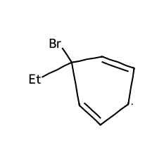 CCC1(Br)C=C[CH]C=C1